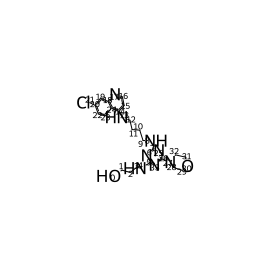 OCCCNc1nc(NCCCCNc2ccnc3cc(Cl)ccc23)nc(N2CCOCC2)n1